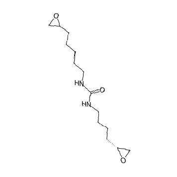 O=C(NCCCCCC1CO1)NCCCC[C@@H]1CO1